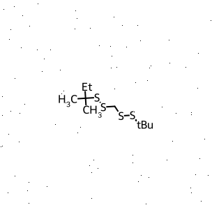 CCC(C)(C)SSCSSC(C)(C)C